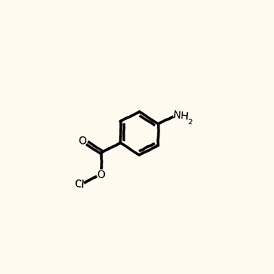 Nc1ccc(C(=O)OCl)cc1